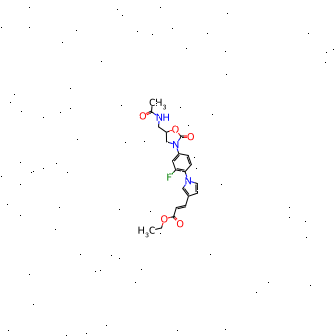 CCOC(=O)C=Cc1ccn(-c2ccc(N3CC(CNC(C)=O)OC3=O)cc2F)c1